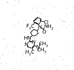 Cc1cnc(NC2CCC(N(C(N)=O)c3c(Cl)cccc3C(F)(F)F)CC2)nc1N(C)C